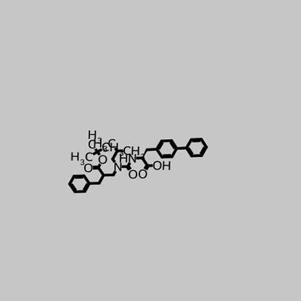 CC(C)CN(CC(Cc1ccccc1)C(=O)OC(C)(C)C)C(=O)N[C@@H](Cc1ccc(-c2ccccc2)cc1)C(=O)O